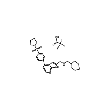 O=C(O)C(F)(F)F.O=S(=O)(c1ccc(-c2ccnc3[nH]c(CNCC4CCCCC4)cc23)cc1)N1CCCC1